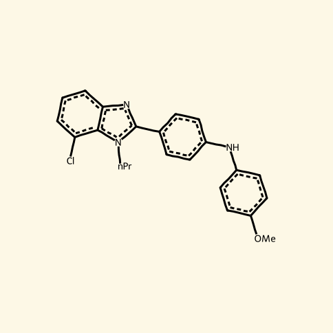 CCCn1c(-c2ccc(Nc3ccc(OC)cc3)cc2)nc2cccc(Cl)c21